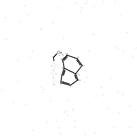 BBBCC.c1ccc2ccccc2c1